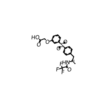 C[C@H](Cc1ccc(S(=O)(=O)c2cccc(OCC(=O)O)c2)cc1)NC(=O)C(F)(F)F